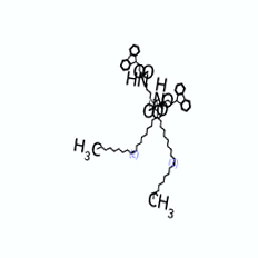 CCCCCCCC/C=C\CCCCCCCCC(CCCCCCC/C=C\CCCCCCCC)OC(=O)[C@H](CCCCNC(=O)OCC1c2ccccc2-c2ccccc21)NC(=O)OCC1c2ccccc2-c2ccccc21